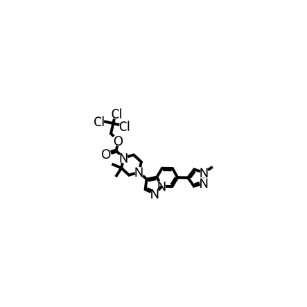 Cn1cc(-c2ccc3c(N4CCN(C(=O)OCC(Cl)(Cl)Cl)C(C)(C)C4)cnn3c2)cn1